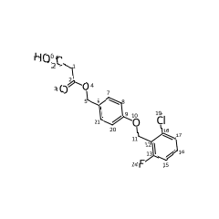 O=C(O)CC(=O)OCc1ccc(OCc2c(F)cccc2Cl)cc1